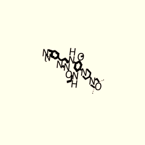 C=CC(=O)Nc1cc(Nc2cc(-c3ccc4cnn(C)c4c3)ncn2)c(OC)cc1N1CCC(N2C[C@@H](C)O[C@@H](C)C2)CC1